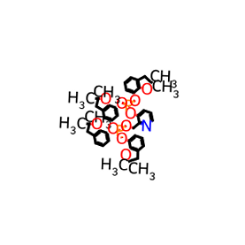 CC1(C)Cc2cccc(OP(OCc3ncccc3OP(Oc3cccc4c3OC(C)(C)C4)Oc3cccc4c3OC(C)(C)C4)Oc3cccc4c3OC(C)(C)C4)c2O1